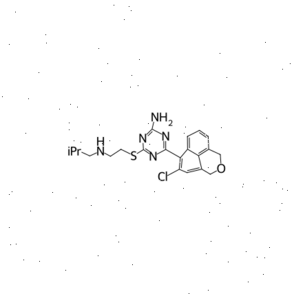 CC(C)CNCCSc1nc(N)nc(-c2c(Cl)cc3c4c(cccc24)COC3)n1